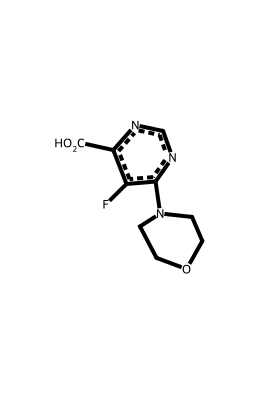 O=C(O)c1ncnc(N2CCOCC2)c1F